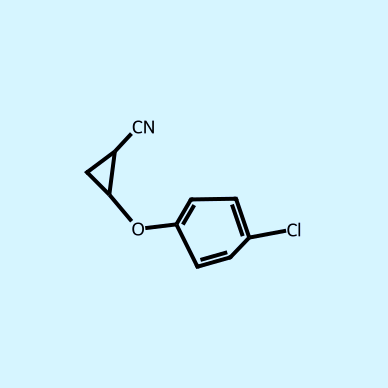 N#CC1CC1Oc1ccc(Cl)cc1